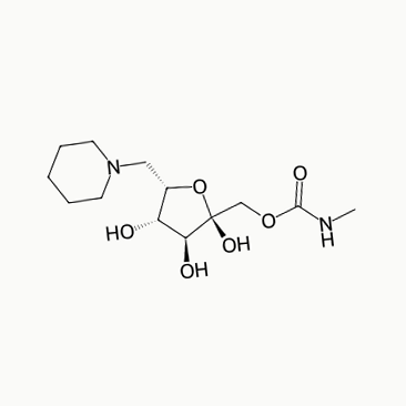 CNC(=O)OC[C@@]1(O)O[C@@H](CN2CCCCC2)[C@@H](O)[C@@H]1O